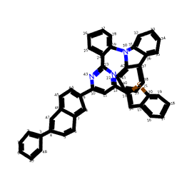 c1ccc(-c2ccc3cc(-c4cc(-c5cc6ccccc6s5)nc(-c5ccccc5-n5c6ccccc6c6ccccc65)n4)ccc3c2)cc1